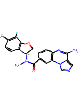 CN(C(=O)c1ccc2nc(N)c3cncn3c2c1)[C@@H]1COc2c1ccc(C(F)(F)F)c2F